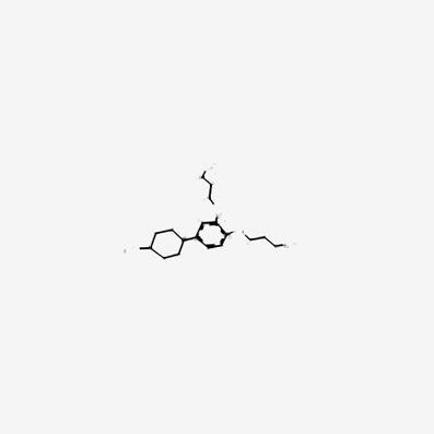 CCCC1CCC(c2ccc(OCCCO)c(OCCCO)c2)CC1